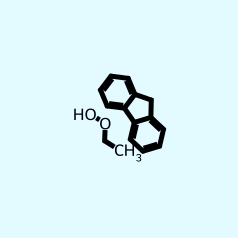 CCOO.c1ccc2c(c1)Cc1ccccc1-2